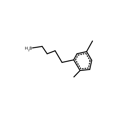 BCCCCc1cc(C)ccc1C